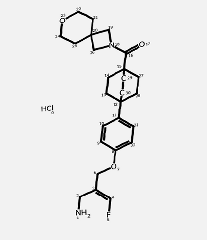 Cl.NCC(=CF)COc1ccc(C23CCC(C(=O)N4CC5(CCOCC5)C4)(CC2)CC3)cc1